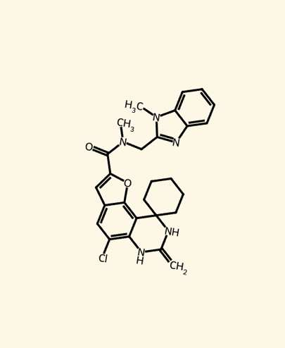 C=C1Nc2c(Cl)cc3cc(C(=O)N(C)Cc4nc5ccccc5n4C)oc3c2C2(CCCCC2)N1